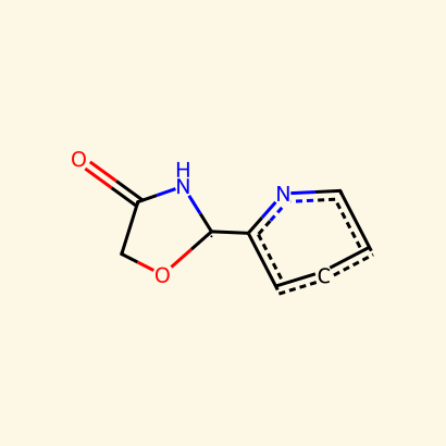 O=C1CO[C](c2ccccn2)N1